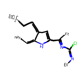 CCC/C=c1/[nH]c(/C(CC)=N/C(Cl)=N\CC)c/c1=C/CC(=O)OCC